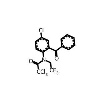 O=C(c1ccccc1)c1cc(Cl)ccc1N(CC(F)(F)F)C(=O)C(Cl)(Cl)Cl